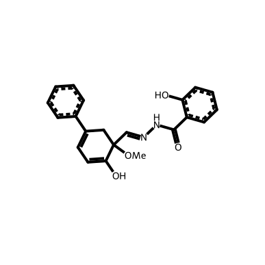 COC1(C=NNC(=O)c2ccccc2O)CC(c2ccccc2)=CC=C1O